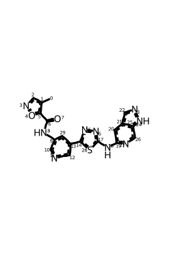 Cc1cnoc1C(=O)Nc1cncc(-c2nnc(Nc3cc4cn[nH]c4cn3)s2)c1